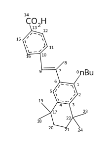 CCCCc1cc2c(cc1/C(C)=C/c1ccc(C(=O)O)cc1)C(C)(C)CCC2(C)C